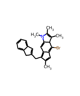 CC1=CC2=C(Br)C3C(=CC2=C1CC1=Cc2ccccc2C1)N(C)C(C)=C3C